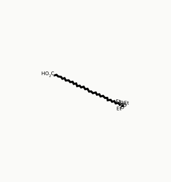 CCO[Si](CCCCCCCCCCCCCCCCCCCCCCCCCCCCCCCCCCCC(=O)O)(OCC)OCC